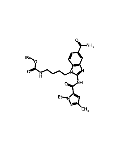 CCn1nc(C)cc1C(=O)Nc1nc2cc(C(N)=O)ccc2n1CCCCNC(=O)OC(C)(C)C